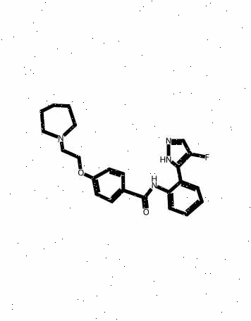 O=C(Nc1ccccc1-c1[nH]ncc1F)c1ccc(OCCN2CCCCC2)cc1